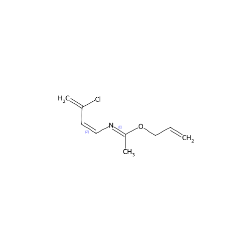 C=CCO/C(C)=N/C=C\C(=C)Cl